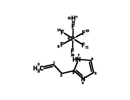 C=CCc1ncc[nH]1.F[P-](F)(F)(F)(F)F.[H+]